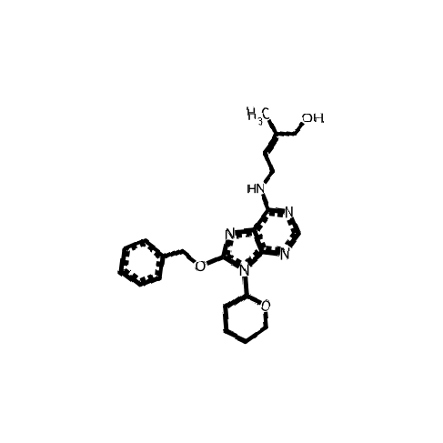 CC(=CCNc1ncnc2c1nc(OCc1ccccc1)n2C1CCCCO1)CO